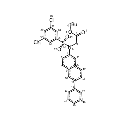 CC(C)(C)OC(=O)CN(c1ccc2cc(-c3cccnc3)ccc2c1)S(=O)(=O)c1cc(Cl)cc(Cl)c1